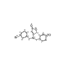 O=C1C=C(N(Cc2ccc(Cl)nc2)Cc2cccc(Br)c2)CO1